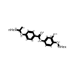 CCCCCCOc1ccc(OC(=O)c2ccc(OC(C)CCCCCC)cc2)cc1F